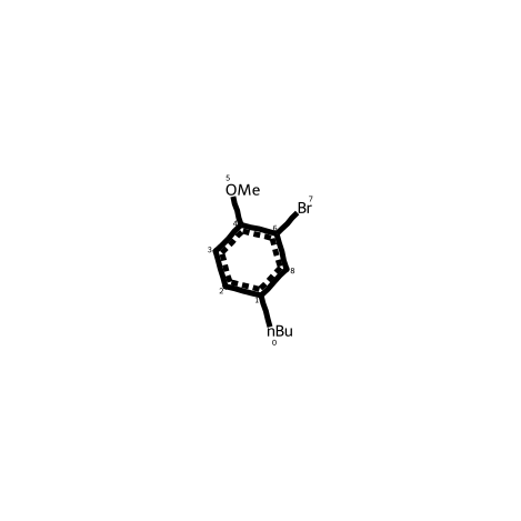 CCCCc1ccc(OC)c(Br)c1